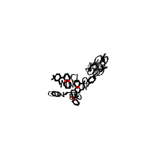 CC(=O)O[C@@H]1[C@H](Oc2ccc(CN(Cc3ccc(CC(CCN4CCOCC4)CSc4ccccc4)c(S(=O)(=O)C(F)(F)F)c3)C(=O)c3ccc(N4CCN(CC5=C(c6ccc(Cl)cc6)CCC(C)(C)C5)CC4)cc3)cc2)O[C@@H](C)[C@@H](C)[C@H]1OC(C)=O